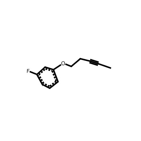 CC#CCCOc1cc[c]c(F)c1